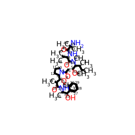 CC[C@H](C)[C@@H]([C@@H](CC(=O)N1CCCC1[C@H](OC)C(C)C(=O)NC(C)[C@@H](O)c1ccccc1)OC)N(C)C(=O)[C@@H](NC(=O)C(C)(C)N)C(C)C